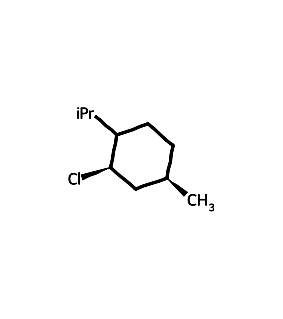 CC(C)C1CC[C@@H](C)C[C@H]1Cl